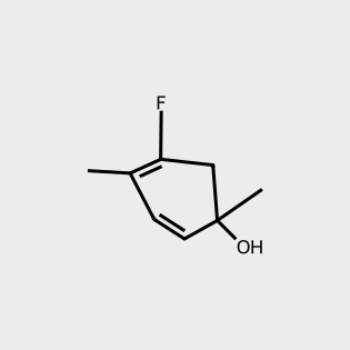 CC1=C(F)CC(C)(O)C=C1